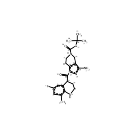 Cc1cc(F)cc2c1NCCC2C(=O)n1nc(N)c2c1CCN(C(=O)OC(C)(C)C)C2